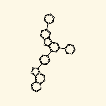 c1ccc(-c2ccc3sc4c(-c5ccc(-c6nnc7c8ccccc8ccn67)cc5)cc(-c5ccccc5)cc4c3c2)cc1